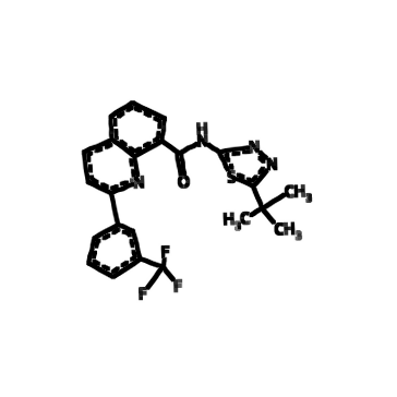 CC(C)(C)c1nnc(NC(=O)c2cccc3ccc(-c4cccc(C(F)(F)F)c4)nc23)s1